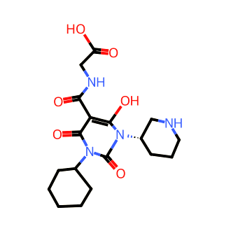 O=C(O)CNC(=O)c1c(O)n([C@H]2CCCNC2)c(=O)n(C2CCCCC2)c1=O